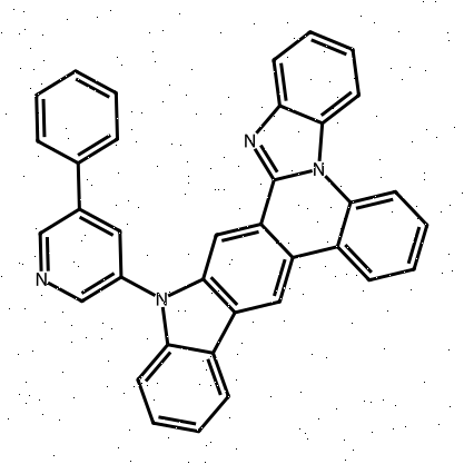 c1ccc(-c2cncc(-n3c4ccccc4c4cc5c6ccccc6n6c7ccccc7nc6c5cc43)c2)cc1